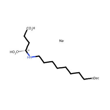 CCCCCCCCCCCCCCCCCCN[C@@H](CCC(=O)O)C(=O)O.[Na]